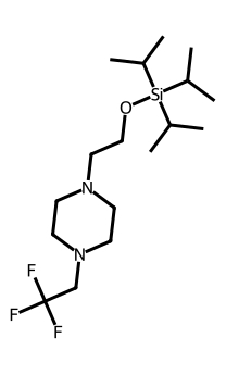 CC(C)[Si](OCCN1CCN(CC(F)(F)F)CC1)(C(C)C)C(C)C